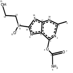 Cc1nc(OC(N)=O)c2nc([S+]([O-])CCO)sc2n1